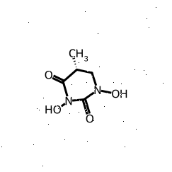 C[C@@H]1CN(O)C(=O)N(O)C1=O